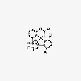 [2H]C1Cc2c(Br)ccc(O)c2C12CC(=O)Oc1cccc(S(=O)(=O)C(F)(F)F)c12